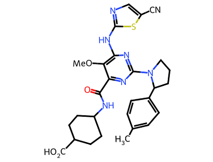 COc1c(Nc2ncc(C#N)s2)nc(N2CCCC2c2ccc(C)cc2)nc1C(=O)NC1CCC(C(=O)O)CC1